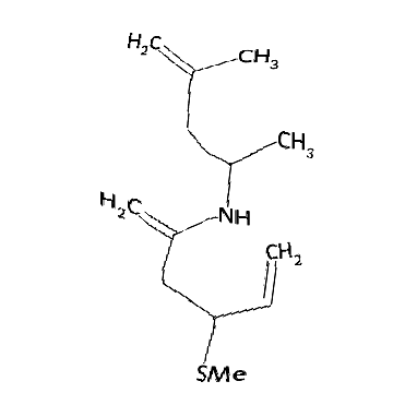 C=CC(CC(=C)NC(C)CC(=C)C)SC